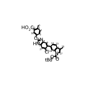 Cc1ccc(Oc2nc3cc(-c4ccc5c(C)cn(C(=O)OC(C)(C)C)c5c4)c(Cl)cc3[nH]2)cc1C(=O)O